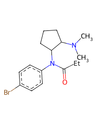 CCC(=O)N(c1ccc(Br)cc1)C1CCCC1N(C)C